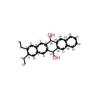 CCc1cc2cc3c(cc2cc1CC)C(O)c1cc2ccccc2cc1C3O